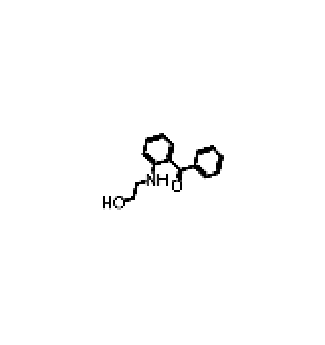 O=C(c1ccccc1)c1ccccc1NCCO